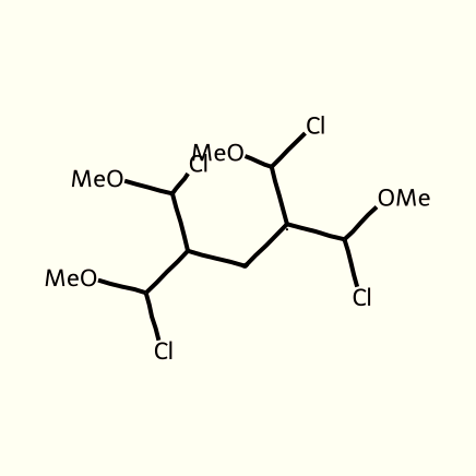 COC(Cl)[C](CC(C(Cl)OC)C(Cl)OC)C(Cl)OC